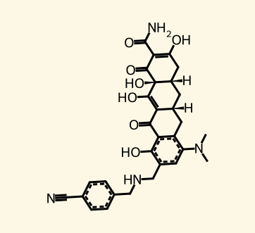 CN(C)c1cc(CNCc2ccc(C#N)cc2)c(O)c2c1C[C@H]1C[C@H]3CC(O)=C(C(N)=O)C(=O)[C@@]3(O)C(O)=C1C2=O